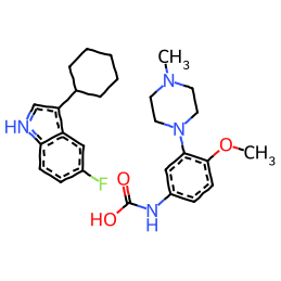 COc1ccc(NC(=O)O)cc1N1CCN(C)CC1.Fc1ccc2[nH]cc(C3CCCCC3)c2c1